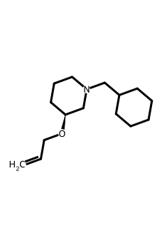 C=CCO[C@H]1CCCN(CC2CCCCC2)C1